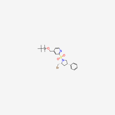 CC(C)(C)[Si](C)(C)OCc1ccnc(S(=O)(=O)N2C[C@H](c3ccccc3)C[C@@H]2CBr)c1